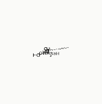 CCCCCCCCCCCCCCCC(=O)OC(=O)C(N)Cc1ccc(O)cc1.[NaH]